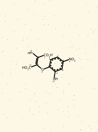 CCCC(C(=O)O)=C(Oc1ccc([N+](=O)[O-])cc1CCC)C(=O)O